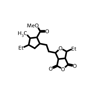 CCC1CC(CCC2OC(CC)C3C(=O)OC(=O)C23)C(C(=O)OC)C1C